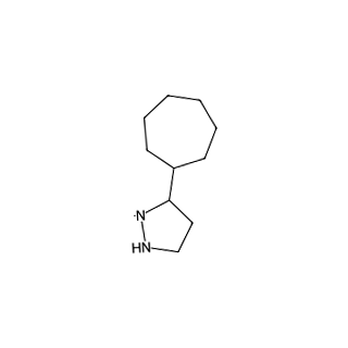 C1CCCC(C2CCN[N]2)CC1